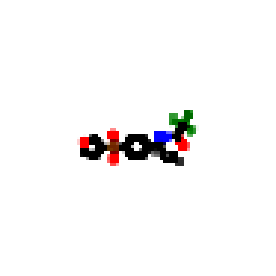 C[C@H](NC(=O)C(F)(F)F)c1ccc(S(=O)(=O)c2ccoc2)cc1